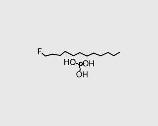 CCCCCCCCCCCCF.OP(O)O